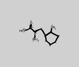 CC1CCCCC1C[C@@H](N)C(=O)O